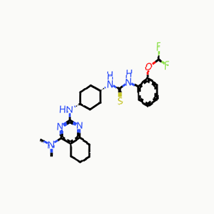 CN(C)c1nc(N[C@H]2CC[C@@H](NC(=S)Nc3ccccc3OC(F)F)CC2)nc2c1CCCC2